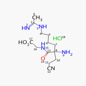 CC(=N)NCCCCC(N)(CCC#N)C(=O)NCC(=O)O.Cl